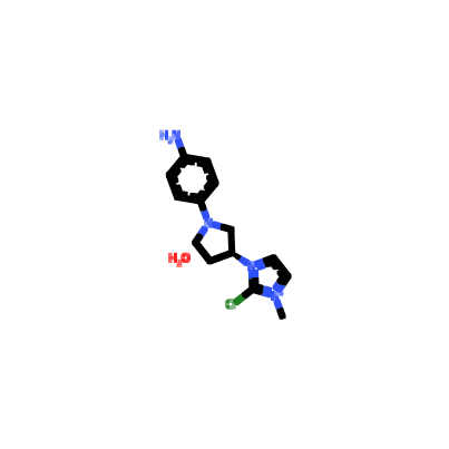 C[n+]1ccn([C@H]2CCN(c3ccc(N)cc3)C2)c1Cl.O